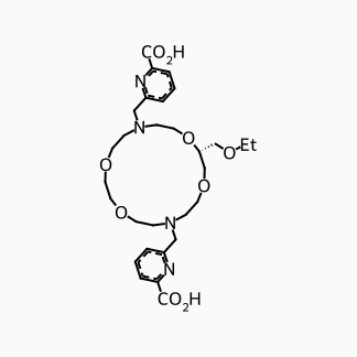 CCOC[C@@H]1COCCN(Cc2cccc(C(=O)O)n2)CCOCCOCCN(Cc2cccc(C(=O)O)n2)CCO1